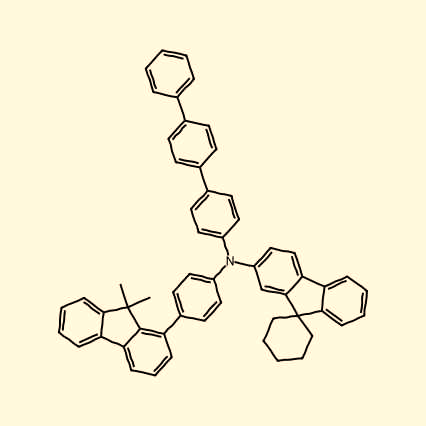 CC1(C)c2ccccc2-c2cccc(-c3ccc(N(c4ccc(-c5ccc(-c6ccccc6)cc5)cc4)c4ccc5c(c4)C4(CCCCC4)c4ccccc4-5)cc3)c21